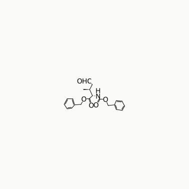 C[C@@H](CC=O)[C@H](NC(=O)OCc1ccccc1)C(=O)OCc1ccccc1